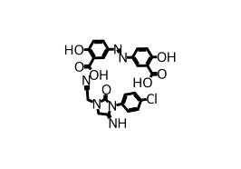 N#CCN1CC(=N)N(c2ccc(Cl)cc2)C1=O.O=C(O)c1cc(/N=N/c2ccc(O)c(C(=O)O)c2)ccc1O